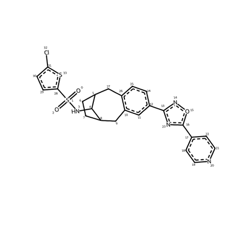 O=S(=O)(NC1C2CCC1Cc1cc(-c3noc(-c4ccncc4)n3)ccc1C2)c1ccc(Cl)s1